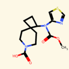 COC(=O)N(c1cscn1)C1CCC12CCN(C(=O)O)CC2